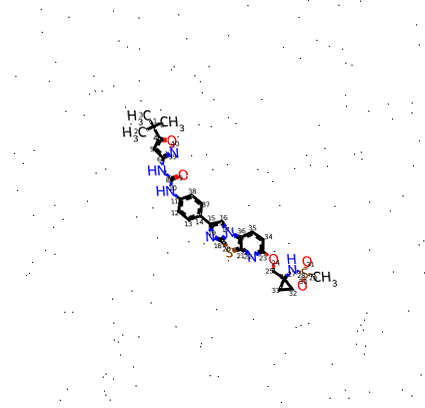 CC(C)(C)c1cc(NC(=O)Nc2ccc(-c3cn4c(n3)sc3nc(OCC5(NS(C)(=O)=O)CC5)ccc34)cc2)no1